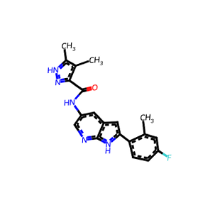 Cc1cc(F)ccc1-c1cc2cc(NC(=O)c3n[nH]c(C)c3C)cnc2[nH]1